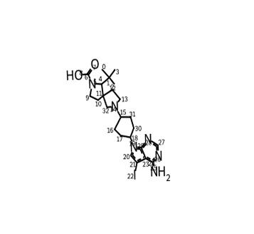 CC(C)(C)C1N(C(=O)O)CCC12CCN(C1CCC(n3cc(I)c4c(N)ncnc43)CC1)C2